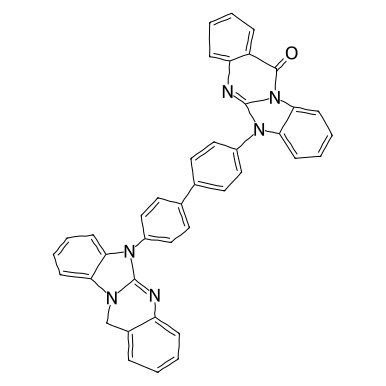 O=c1c2ccccc2nc2n(-c3ccc(-c4ccc(N5C6=Nc7ccccc7CN6c6ccccc65)cc4)cc3)c3ccccc3n12